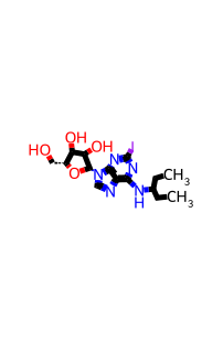 CCC(CC)Nc1nc(I)nc2c1ncn2[C@@H]1O[C@H](CO)C(O)C1O